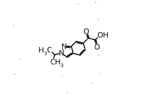 CC(C)n1cc2ccc(C(=O)C(=O)O)cc2n1